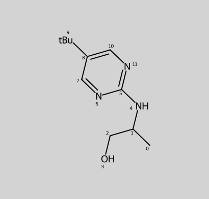 CC(CO)Nc1ncc(C(C)(C)C)cn1